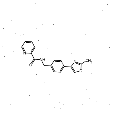 Cc1nc(-c2ccc(CNC(=O)c3ccccn3)cc2)co1